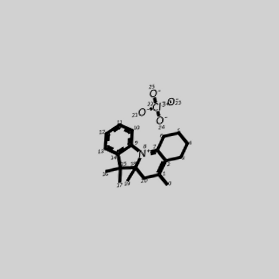 CC1=C2CCCCC2=[N+]2c3ccccc3C(C)(C)C2(C)C1.[O-][Cl+3]([O-])([O-])[O-]